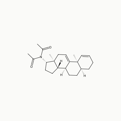 CC(=O)N(C(C)=O)[C@H]1CC[C@H]2[C@@H]3CC[C@@H]4CCC=C[C@]4(C)C3=CC[C@]12C